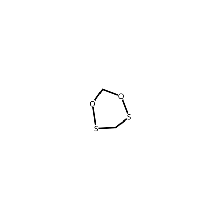 C1OSCSO1